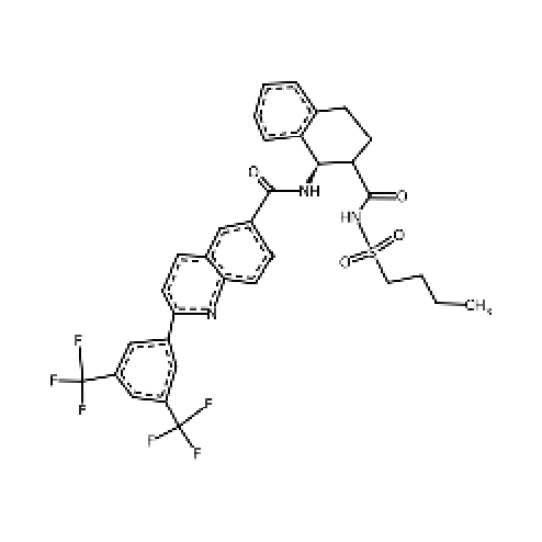 CCCCS(=O)(=O)NC(=O)C1CCc2ccccc2[C@@H]1NC(=O)c1ccc2nc(-c3cc(C(F)(F)F)cc(C(F)(F)F)c3)ccc2c1